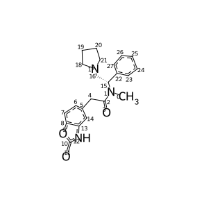 CN(C(=O)Cc1ccc2oc(=O)[nH]c2c1)[C@H](CN1CCCC1)c1ccccc1